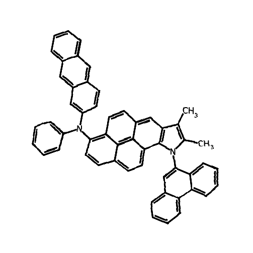 Cc1c(C)n(-c2cc3ccccc3c3ccccc23)c2c1cc1ccc3c(N(c4ccccc4)c4ccc5cc6ccccc6cc5c4)ccc4ccc2c1c43